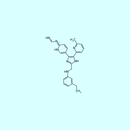 CCc1cccc(NCc2nc(-c3cc/c(=N/C=N)[nH]c3)c(-c3cccc(C)n3)[nH]2)c1